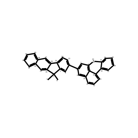 CC1(C)c2cc(-c3cc4c5c(cccc5c3)-c3ccccc3S4)ccc2-c2cc3ccccc3cc21